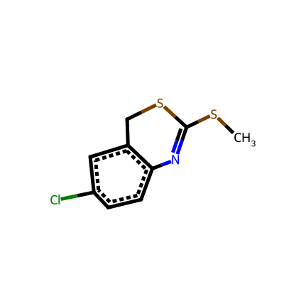 CSC1=Nc2ccc(Cl)cc2CS1